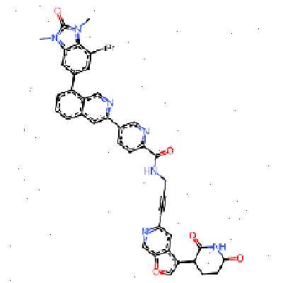 CC(C)c1cc(-c2cccc3cc(-c4ccc(C(=O)NCC#Cc5cc6c(C7CCC(=O)NC7=O)coc6cn5)nc4)ncc23)cc2c1n(C)c(=O)n2C